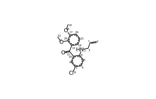 C=CCNc1ccc(Cl)cc1C(=O)c1cccc(OC)c1OC